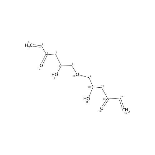 C=CC(=O)CC(O)COCC(O)CC(=O)C=C